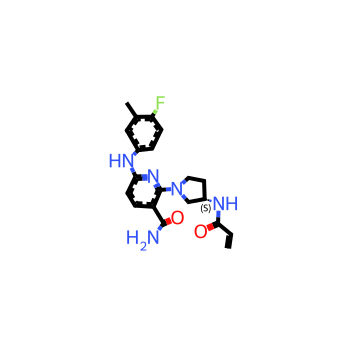 C=CC(=O)N[C@H]1CCN(c2nc(Nc3ccc(F)c(C)c3)ccc2C(N)=O)C1